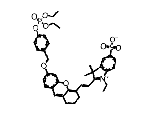 CCOP(=O)(OCC)Oc1ccc(COc2ccc3c(c2)OC2=C(C=CC4=[N+](CC)c5ccc(S(=O)(=O)[O-])cc5C4(C)C)CCCC2=C3)cc1